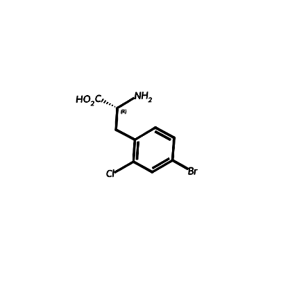 N[C@H](Cc1ccc(Br)cc1Cl)C(=O)O